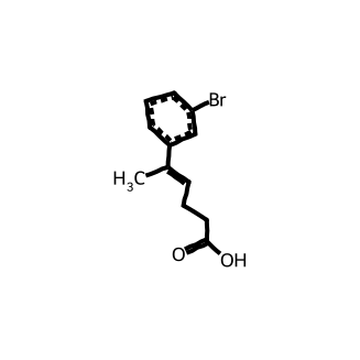 CC(=CCCC(=O)O)c1cccc(Br)c1